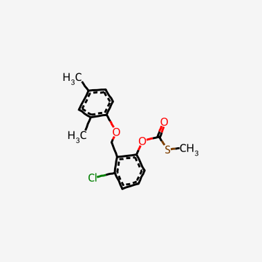 CSC(=O)Oc1cccc(Cl)c1COc1ccc(C)cc1C